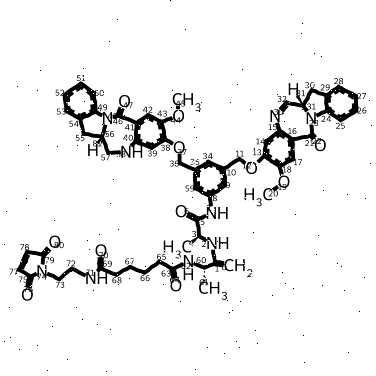 C=C(N[C@@H](C)C(=O)Nc1cc(COc2cc3c(cc2OC)C(=O)N2c4ccccc4C[C@H]2C=N3)cc(COc2cc3c(cc2OC)C(=O)N2c4ccccc4C[C@H]2CN3)c1)[C@H](C)NC(=O)CCCCC(=O)NCCN1C(=O)C=CC1=O